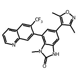 Cc1noc(C)c1-c1cc(-c2cc3ncccc3cc2C(F)(F)F)c2c(c1)[nH]c(=O)n2C